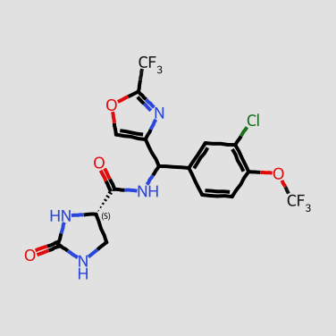 O=C1NC[C@@H](C(=O)NC(c2ccc(OC(F)(F)F)c(Cl)c2)c2coc(C(F)(F)F)n2)N1